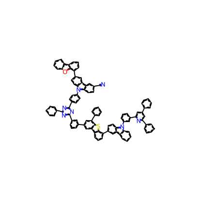 N#Cc1ccc2c(c1)c1cc(-c3cccc4c3oc3ccccc34)ccc1n2-c1ccc(-c2nc(-c3ccccc3)nc(-c3cccc(-c4cc(-c5ccccc5)c5sc6c(-c7ccc8c(c7)c7ccccc7n8-c7cccc(-c8cc(-c9ccccc9)cc(-c9ccccc9)n8)c7)cccc6c5c4)c3)n2)cc1